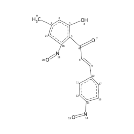 Cc1cc(O)c(C(=O)/C=C/c2ccc(N=O)cc2)c(N=O)c1